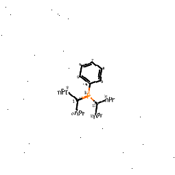 CCCC(CCC)P(c1ccccc1)C(CCC)CCC